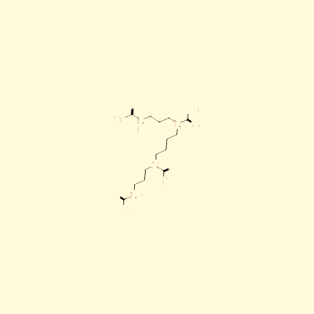 CCC(C)C(=O)N(CCCCN(CCCNC(=O)C(C)C)C(=O)C(C)C)CCCNC(=O)C(C)C